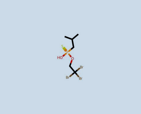 CC(C)CP(O)(=S)OCC(Br)(Br)Br